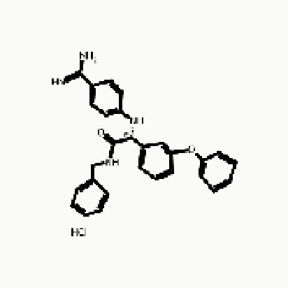 Cl.N=C(N)c1ccc(N[C@@H](C(=O)NCc2ccccc2)c2cccc(Oc3ccccc3)c2)cc1